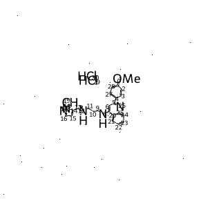 COc1ccc(-c2cc(NCCCNCc3ccnn3C)c3ccccc3n2)cc1.Cl.Cl